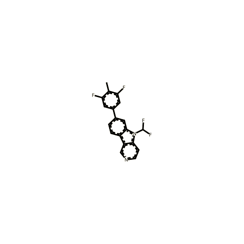 Cc1c(F)cc(-c2ccc3c4cnccc4n(C(F)F)c3c2)cc1F